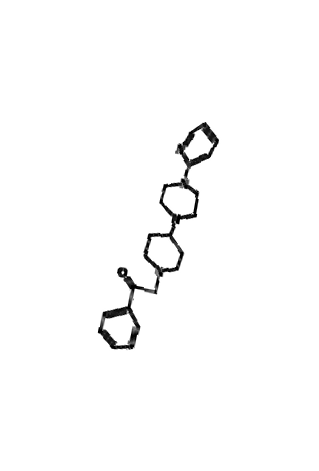 O=C(CN1CCC(N2CCN(c3ccccn3)CC2)CC1)c1ccccc1